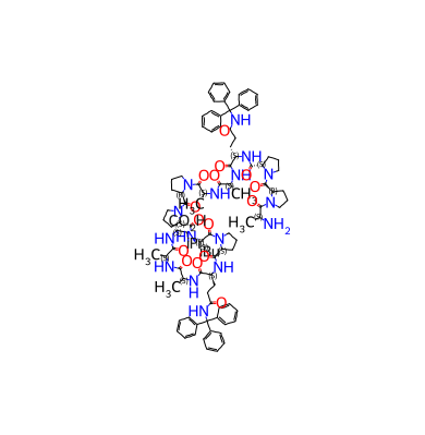 CC[C@H](C)[C@H](NC(=O)[C@@H]1CCCN1C(=O)[C@H]1CCCN1C(=O)[C@H](C)NC(=O)[C@H](C)NC(=O)[C@H](CCC(=O)NC(c1ccccc1)(c1ccccc1)c1ccccc1)NC(=O)[C@@H]1CCCN1C(=O)[C@H]1CCCN1C(=O)[C@H](C)N)C(=O)N1CCC[C@H]1C(=O)N[C@@H](CCC(=O)NC(c1ccccc1)(c1ccccc1)c1ccccc1)C(=O)N[C@@H](C)C(=O)N[C@@H](C)C(=O)N[C@@H](CC(C)C)C(=O)O